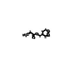 C=CC(=O)OCC1CCOOC1